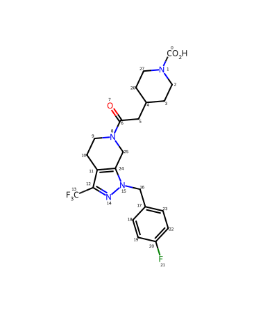 O=C(O)N1CCC(CC(=O)N2CCc3c(C(F)(F)F)nn(Cc4ccc(F)cc4)c3C2)CC1